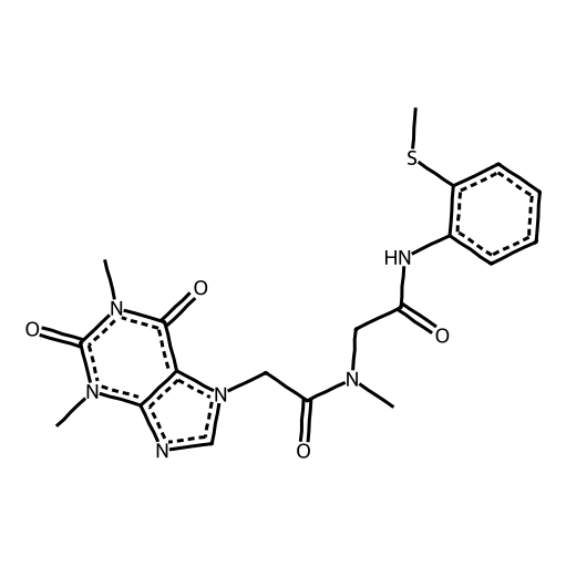 CSc1ccccc1NC(=O)CN(C)C(=O)Cn1cnc2c1c(=O)n(C)c(=O)n2C